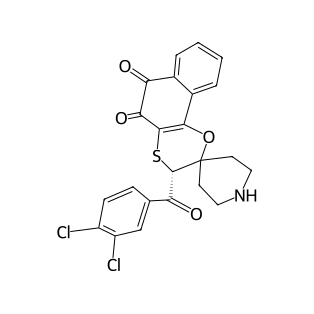 O=C1C(=O)c2ccccc2C2=C1S[C@@H](C(=O)c1ccc(Cl)c(Cl)c1)C1(CCNCC1)O2